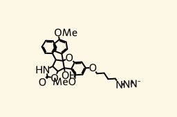 COc1ccc(C23Oc4cc(OCCCCN=[N+]=[N-])cc(OC)c4C2(O)C2OC(=O)NC2C3c2ccccc2)cc1